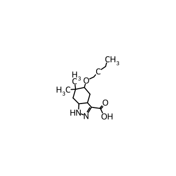 CCCCOC1CC2C(C(=O)O)=NNC2CC1(C)C